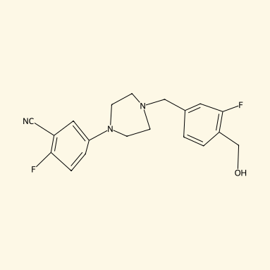 N#Cc1cc(N2CCN(Cc3ccc(CO)c(F)c3)CC2)ccc1F